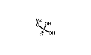 O=P(O)(O)[O][Mo]